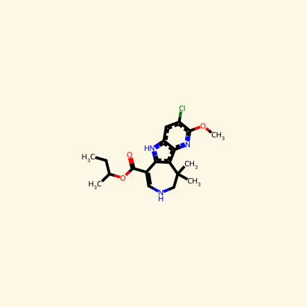 CCC(C)OC(=O)C1=CNCC(C)(C)c2c1[nH]c1cc(Cl)c(OC)nc21